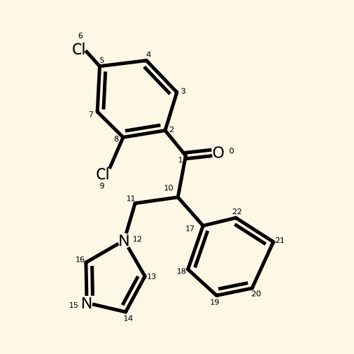 O=C(c1ccc(Cl)cc1Cl)C(Cn1ccnc1)c1ccccc1